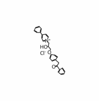 O=C(Cc1ccc(OCC(O)C[n+]2ccc(-c3ccccc3)cc2)cc1)c1ccccc1.[Cl-]